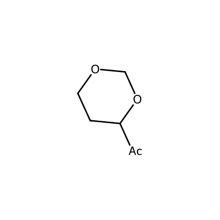 CC(=O)C1CCOCO1